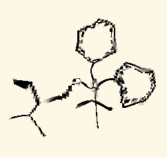 C=C[C@@H](CO[Si](c1ccccc1)(c1ccccc1)C(C)(C)C)C(C)C